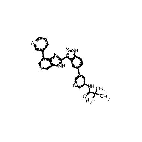 CC(C)(C)C(=O)Nc1cncc(-c2ccc3[nH]nc(-c4nc5c(-c6cccnc6)cncc5[nH]4)c3c2)c1